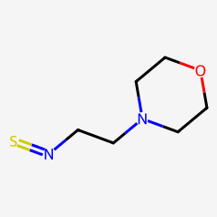 S=NCCN1CCOCC1